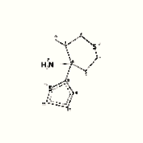 CC1CSCCC1(N)c1cccs1